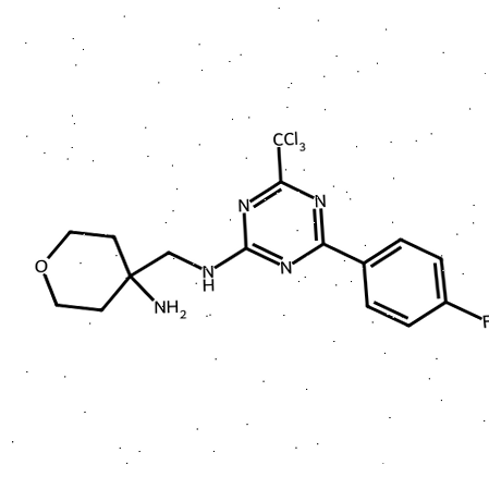 NC1(CNc2nc(-c3ccc(F)cc3)nc(C(Cl)(Cl)Cl)n2)CCOCC1